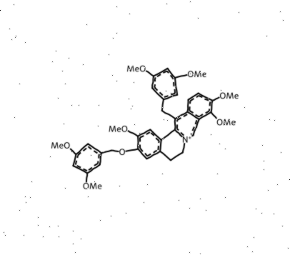 COc1cc(COc2cc3c(cc2OC)-c2c(Cc4cc(OC)cc(OC)c4)c4ccc(OC)c(OC)c4c[n+]2CC3)cc(OC)c1